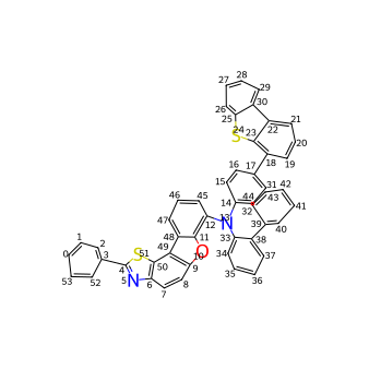 c1ccc(-c2nc3ccc4oc5c(N(c6ccc(-c7cccc8c7sc7ccccc78)cc6)c6ccccc6-c6ccccc6)cccc5c4c3s2)cc1